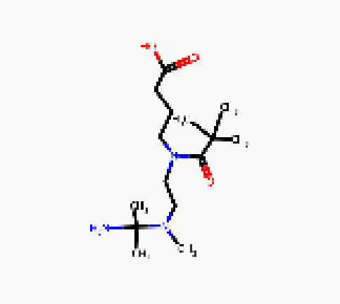 CN(CCN(CCCC(=O)O)C(=O)C(C)(C)C)C(C)(C)N